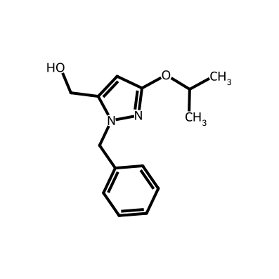 CC(C)Oc1cc(CO)n(Cc2ccccc2)n1